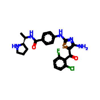 CC(NC(=O)c1ccc(Nc2nc(N)c(C(=O)c3c(F)cccc3Cl)s2)cc1)[C@@H]1CCCN1